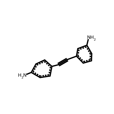 Nc1ccc(C#Cc2cccc(N)c2)cc1